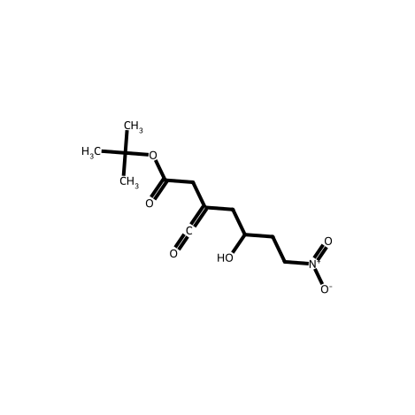 CC(C)(C)OC(=O)CC(=C=O)CC(O)CC[N+](=O)[O-]